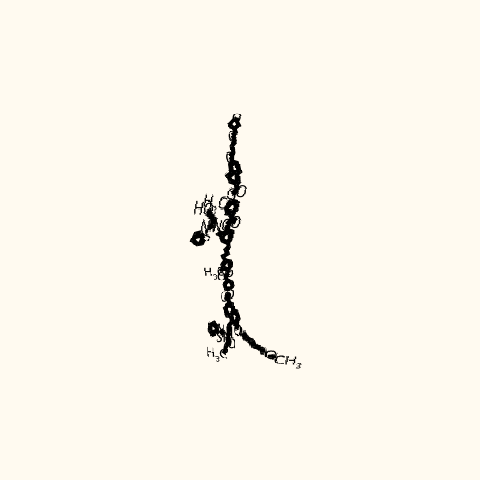 CCCC(=O)N(/N=C/c1c(OCCCCCCOCC)ccc2cc(C(=O)Oc3ccc(C(=O)Oc4ccc(CCCCc5ccc(OC(=O)c6ccc(OC(=O)c7ccc8cc(OCCCOCC9CCC%10OC%10C9)ccc8c7)c(C)c6)c(/C=N/N(CCO)c6nc7ccccc7s6)c5)cc4C)cc3)ccc12)c1nc2ccccc2s1